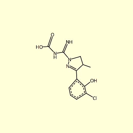 CC1CN(C(=N)NC(=O)O)N=C1c1cccc(Cl)c1O